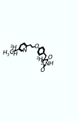 [2H]C([2H])(C)c1ccc(CCOc2ccc(C[C@@]3([2H])SC(=O)NC3=O)cc2)nc1